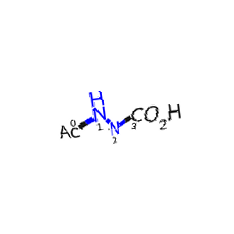 CC(=O)N[N]C(=O)O